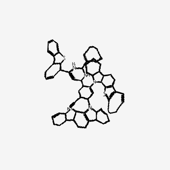 N#CC1CC(C2C=C(C3C=CCC4c5ccccc5SC34)NC(C3CCCCC3)N2)C(N2C3CCCCC3C3CCc4c(sc5c4C=CCC5)C32)=CC1N1C2=C(CCC3C2SC2C=CCCC23)C2CCC=CC21